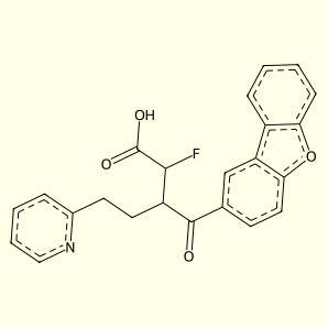 O=C(O)C(F)C(CCc1ccccn1)C(=O)c1ccc2oc3ccccc3c2c1